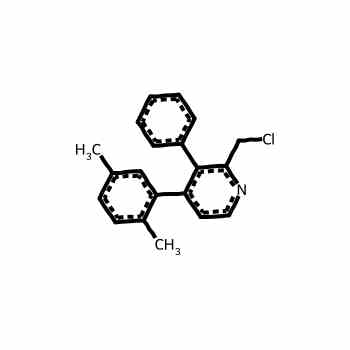 Cc1ccc(C)c(-c2ccnc(CCl)c2-c2ccccc2)c1